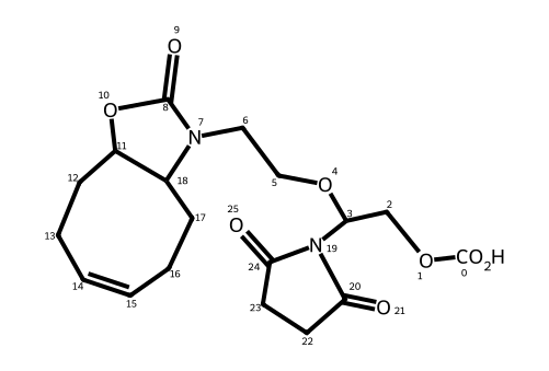 O=C(O)OCC(OCCN1C(=O)OC2CCC=CCCC21)N1C(=O)CCC1=O